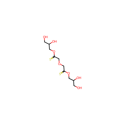 OCC(O)COC(=S)COCC(=S)OCC(O)CO